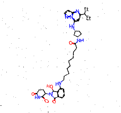 CCC(CC)c1cc(N[C@H]2CC[C@H](NC(=O)CCCCCCCCCNc3cccc4c3C(O)N(C3CCC(=O)NC3=O)C4=O)C2)n2nccc2n1